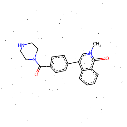 Cn1cc(-c2ccc(C(=O)N3CCNCC3)cc2)c2ccccc2c1=O